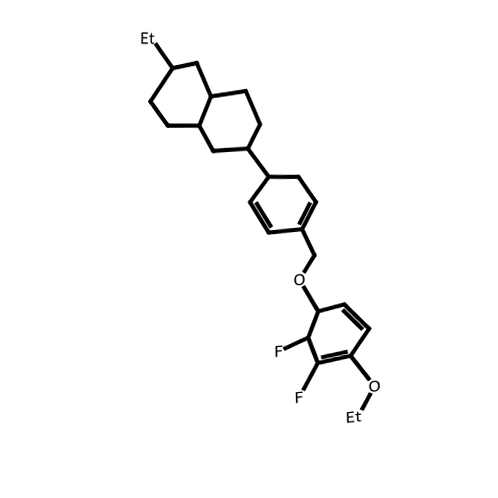 CCOC1=C(F)C(F)C(OCC2=CCC(C3CCC4CC(CC)CCC4C3)C=C2)C=C1